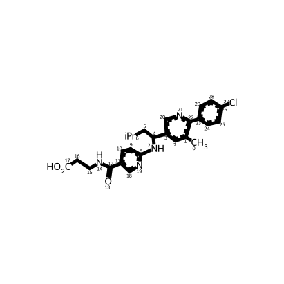 Cc1cc(C(CC(C)C)Nc2ccc(C(=O)NCCC(=O)O)cn2)cnc1-c1ccc(Cl)cc1